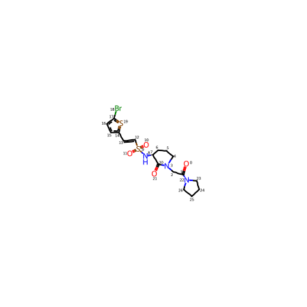 O=C(CN1CCC[C@H](NS(=O)(=O)/C=C/c2ccc(Br)s2)C1=O)N1CCCC1